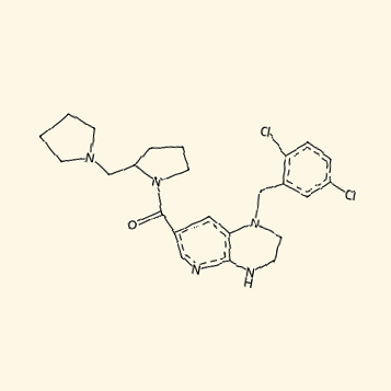 O=C(c1cnc2c(c1)N(Cc1cc(Cl)ccc1Cl)CCN2)N1CCCC1CN1CCCC1